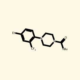 CCCCC(=O)N1CCN(c2ccc(CC)cc2C(F)(F)F)CC1